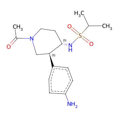 CC(=O)N1CC[C@H](NS(=O)(=O)C(C)C)[C@@H](c2ccc(N)cc2)C1